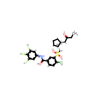 CCC(=O)C[C@@H]1CCC[C@H]1CS(=O)(=O)c1cc(C(=O)Nc2cc(F)c(F)c(F)c2)ccc1Cl